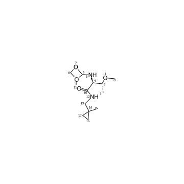 CO[C@H](C)[C@H](NC1OCO1)C(=O)NCC1(C)CC1